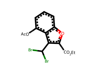 CCOC(=O)c1oc2cccc(OC(C)=O)c2c1C(Br)Br